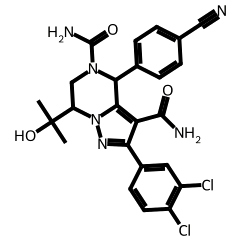 CC(C)(O)C1CN(C(N)=O)C(c2ccc(C#N)cc2)c2c(C(N)=O)c(-c3ccc(Cl)c(Cl)c3)nn21